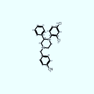 N#Cc1ccc(CN2CCN(c3ccc(Cl)cc3Cl)C(c3ccccc3)C2)cc1